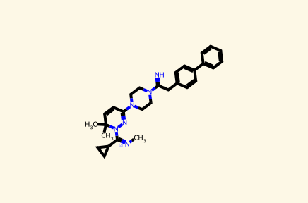 C/N=C(/C1CC1)N1N=C(N2CCN(C(=N)Cc3ccc(-c4ccccc4)cc3)CC2)C=CC1(C)C